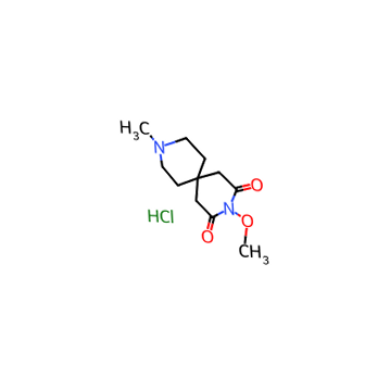 CON1C(=O)CC2(CCN(C)CC2)CC1=O.Cl